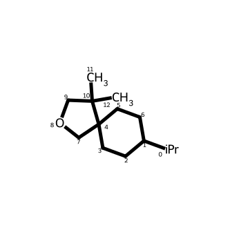 CC(C)C1CCC2(CC1)COCC2(C)C